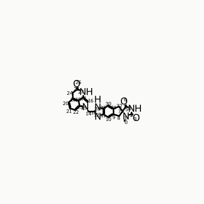 CN1C(=O)NC(=O)C12Cc1cc3nc(Cn4cc5c6c(cccc64)CC(=O)N5)[nH]c3cc1C2